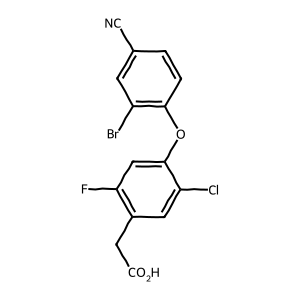 N#Cc1ccc(Oc2cc(F)c(CC(=O)O)cc2Cl)c(Br)c1